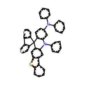 c1ccc(N(c2ccccc2)c2ccc3c(c2)N(c2ccccc2)c2cc4c(cc2C32c3ccccc3-c3ccccc32)sc2ccccc24)cc1